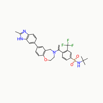 C=C(c1ccc(S(=O)(=O)NC(C)(C)C)cc1C(F)(F)F)N1CCOc2ccc(-c3ccc4nc(C)[nH]c4c3)cc2C1